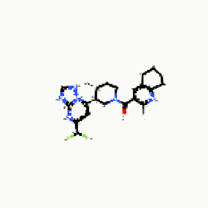 C[C@@H]1CCN(C(=O)c2cc3c(nc2Cl)CCCC3)C[C@H]1c1cc(C(F)F)nc2ncnn12